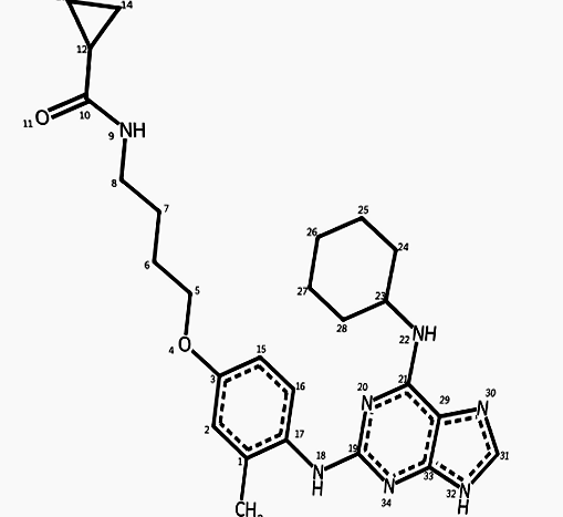 Cc1cc(OCCCCNC(=O)C2CC2)ccc1Nc1nc(NC2CCCCC2)c2nc[nH]c2n1